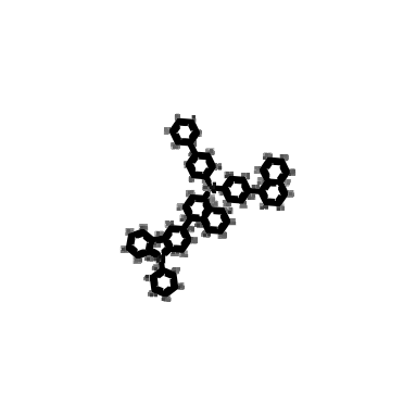 c1ccc(-c2ccc(N(c3ccc(-c4cccc5ccccc45)cc3)c3ccc(-c4ccc5c(c4)c4ccccc4n5-c4ccccc4)c4ccccc34)cc2)cc1